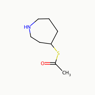 CC(=O)SC1CCCNCC1